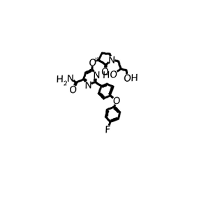 NC(=O)c1cc(O[C@H]2CCN(CC(O)CO)C2=O)nc(-c2ccc(Oc3ccc(F)cc3)cc2)n1